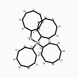 C1CCCC(O[Si](C2CCCCCCC2)(C2CCCCCCC2)C2CCCCCCC2)CCC1